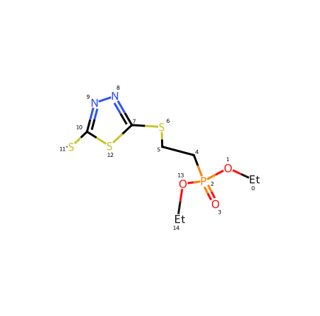 CCOP(=O)(CCSc1nnc([S])s1)OCC